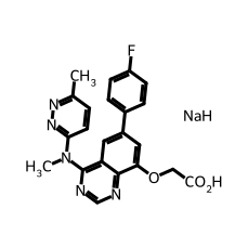 Cc1ccc(N(C)c2ncnc3c(OCC(=O)O)cc(-c4ccc(F)cc4)cc23)nn1.[NaH]